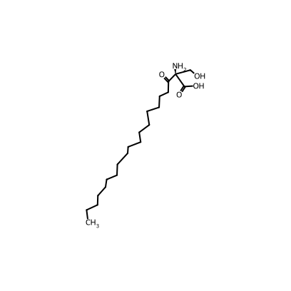 CCCCCCCCCCCCCCCCCC(=O)[C@](N)(CO)C(=O)O